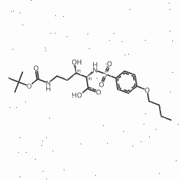 CCCCOc1ccc(S(=O)(=O)N[C@@H](C(=O)O)[C@H](O)CCNC(=O)OC(C)(C)C)cc1